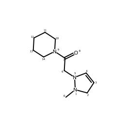 CN1CC=CN1CC(=O)N1CCCCC1